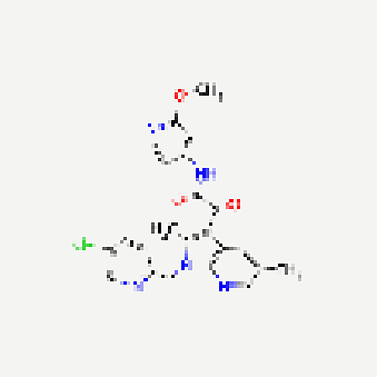 COc1cc(NC(=O)C(=O)c2c(C)n(Cc3ccc(Cl)cn3)c3ncc(C)cc23)ccn1